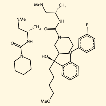 CNC[C@H](C)NC(=O)N1CCCCC1.CNC[C@H](C)NC(=O)N1CCC[C@@H]([C@@](O)(CCCCOC)c2ccccc2Oc2cccc(F)c2)C1